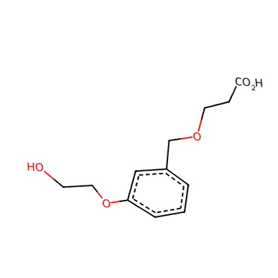 O=C(O)CCOCc1cccc(OCCO)c1